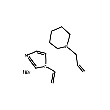 Br.C=CCN1CCCCC1.C=Cn1ccnc1